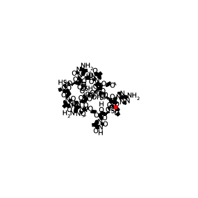 CC[C@H]1O[C@@H](n2cc(C)c(=O)[nH]c2=O)C[C@H]1OP(=O)(S)OC[C@H]1O[C@@H](n2cc(C)c(N)nc2=O)C(OCCOC)[C@H]1OP(=O)(S)OC[C@H]1O[C@@H](n2cnc3c(N)ncnc32)C(OCCOC)[C@H]1OP(=O)(O)OC[C@H]1O[C@@H](n2cc(C)c(=O)[nH]c2=O)C(OCCOC)[C@H]1OP(=O)(S)OC[C@H]1O[C@@H](n2cnc3c(N)ncnc32)C(OCCOC)[C@H]1OP(=O)(S)OC[C@H]1O[C@@H](n2cc(C)c(=O)[nH]c2=O)C(OCCOC)[C@H]1O